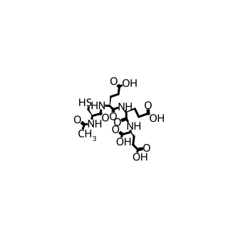 CC(=O)N[C@@H](CS)C(=O)N[C@@H](CCC(=O)O)C(=O)N[C@@H](CCC(=O)O)C(=O)N[C@@H](CCC(=O)O)C(=O)O